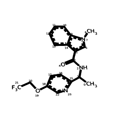 CC(NC(=O)c1cn(C)c2ccccc12)c1ccc(OCC(F)(F)F)cn1